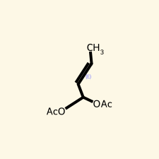 C/C=C/C(OC(C)=O)OC(C)=O